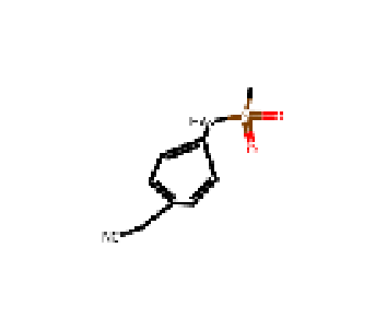 CS(=O)(=O)[AsH]c1ccc(CC#N)cc1